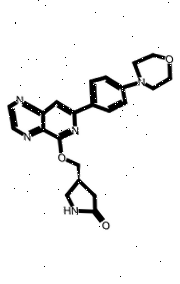 O=C1C[C@H](COc2nc(-c3ccc(N4CCOCC4)cc3)cc3nccnc23)CN1